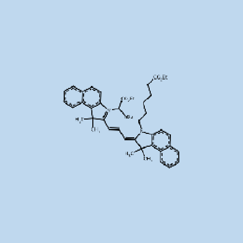 CCCCC(C(=O)OCC)[N+]1=C(/C=C/C=C2\N(CCCCCC(=O)OCC)c3ccc4ccccc4c3C2(C)C)C(C)(C)c2c1ccc1ccccc21